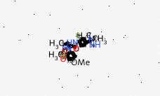 COc1ccc(-n2nc(C)cc2C(=O)Nc2ccc(C(=N)N(C)C)cc2F)c(S(C)(=O)=O)c1